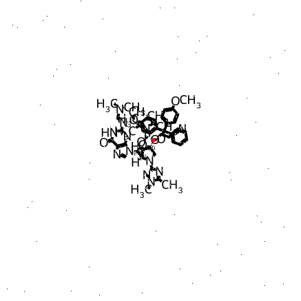 COc1ccc(C(OC[C@@]23CN(c4nc(C)n(C)n4)[C@@H]([C@H](n4cnc5c(=O)[nH]c(N=CN(C)C)nc54)O2)[C@@H]3OP(OCCC#N)N(C(C)C)C(C)C)(c2ccccc2)c2ccc(OC)cc2)cc1